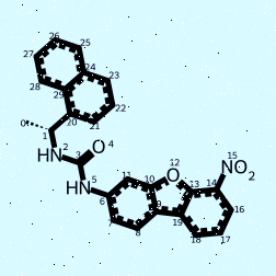 C[C@@H](NC(=O)Nc1ccc2c(c1)oc1c([N+](=O)[O-])cccc12)c1cccc2ccccc12